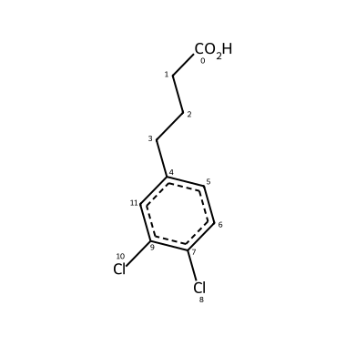 O=C(O)CCCc1ccc(Cl)c(Cl)c1